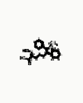 Cn1c(-c2ccccc2)c(CCCC(=NO)C(=O)O)c2ccccc21